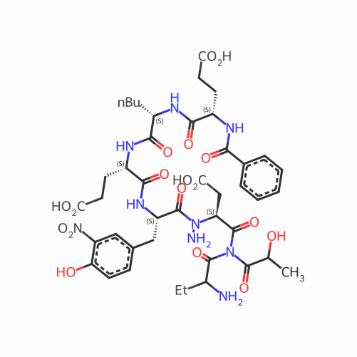 CCCC[C@H](NC(=O)[C@H](CCC(=O)O)NC(=O)c1ccccc1)C(=O)N[C@@H](CCC(=O)O)C(=O)N[C@@H](Cc1ccc(O)c([N+](=O)[O-])c1)C(=O)N(N)[C@@H](CC(=O)O)C(=O)N(C(=O)C(C)O)C(=O)C(N)CC